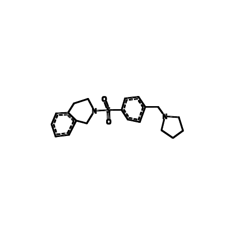 O=S(=O)(c1ccc(CN2CCCC2)cc1)N1CCc2ccccc2C1